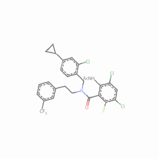 CC(=O)Nc1c(Cl)cc(Cl)c(F)c1C(=O)N(CCc1cccc(C(F)(F)F)c1)Cc1ccc(C2CC2)cc1Cl